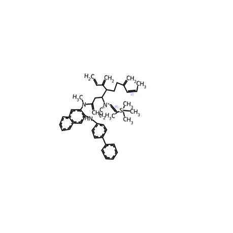 C=CC(=C)C(CCC(=C)/C=C\C)C(CC(=C)N(C)c1cc2ccccc2cc1Nc1ccc(-c2ccccc2)cc1)[N+](=C)/C=C(\C)[Si](C)(C)C